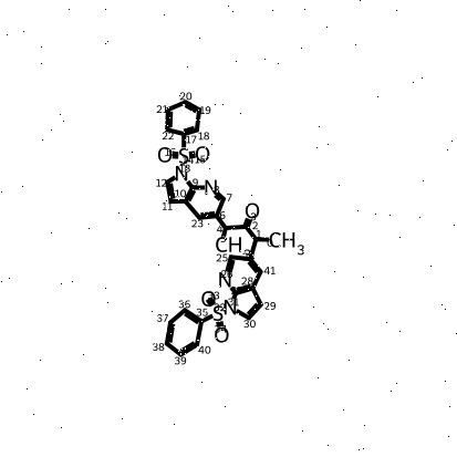 CC(C(=O)C(C)c1cnc2c(ccn2S(=O)(=O)c2ccccc2)c1)c1cnc2c(ccn2S(=O)(=O)c2ccccc2)c1